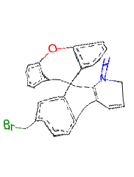 Brc1ccc2c(c1)C1(C3=C2C=CCN3)c2ccccc2Oc2ccccc21